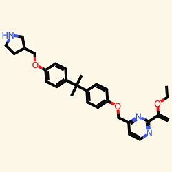 C=C(OCC)c1nccc(COc2ccc(C(C)(C)c3ccc(OCC4CCNC4)cc3)cc2)n1